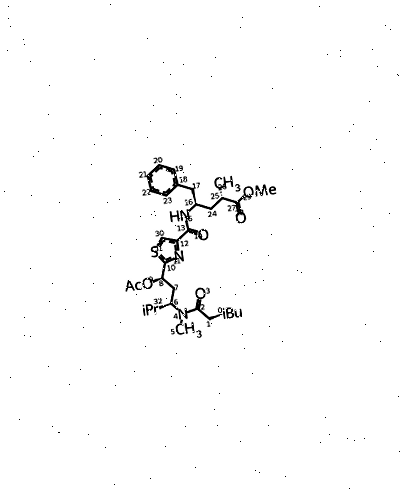 CC[C@H](C)CC(=O)N(C)[C@H](C[C@@H](OC(C)=O)c1nc(C(=O)N[C@@H](Cc2ccccc2)C[C@H](C)C(=O)OC)cs1)C(C)C